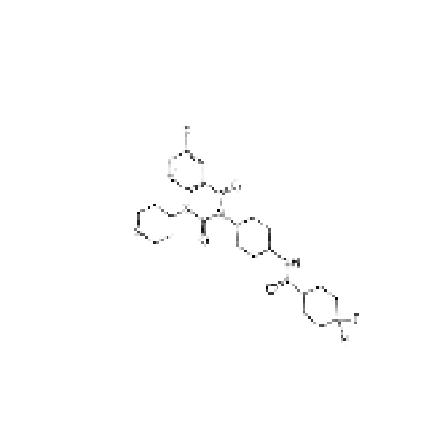 O=C(NC1CCC(n2c(=O)c3cc(F)cnc3n(C3CCSCC3)c2=O)CC1)C1CCC(F)(F)CC1